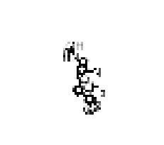 Cc1c(-c2ccc3c(c2)OCCO3)cccc1-c1cc2cc3c(c(C#N)c2o1)CCC3NCC(=O)O